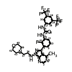 Cc1ncnc2c1c(-c1cccc(NC(=O)Nc3cc(C(F)(F)F)cc(C(F)(F)F)c3)c1F)nn2NCCN1CCOCC1